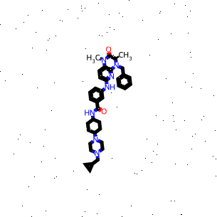 C[C@@H]1C(=O)N(C)c2ccc(Nc3cccc(C(=O)NC4CCC(N5CCN(CC6CC6)CC5)CC4)c3)nc2N1Cc1ccccc1